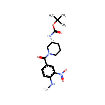 CNc1ccc(C(=O)N2CCC[C@@H](NC(=O)OC(C)(C)C)C2)cc1[N+](=O)[O-]